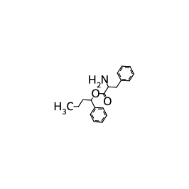 CCCC(OC(=O)C(N)Cc1ccccc1)c1ccccc1